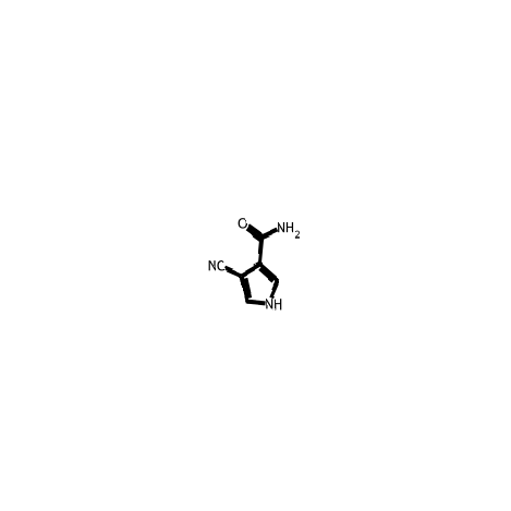 N#Cc1c[nH]cc1C(N)=O